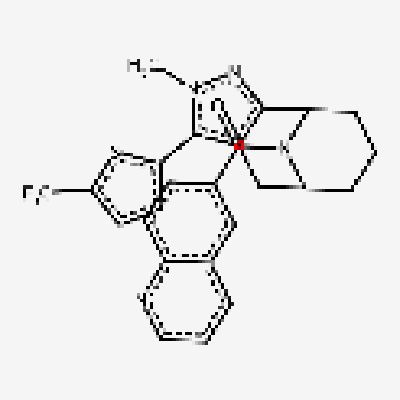 Cn1nc2c(c1-c1ccc(C(F)(F)F)s1)CC1CCCC2N1C(=O)c1ccc2ncccc2c1